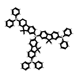 CC1(C)C2=C(CCC(N(c3ccccc3)c3ccccc3)=C2)c2ccc(N(c3ccc4c(c3)C(C)(C)c3cc(N(c5ccccc5)c5ccccc5)ccc3-4)c3ccc4c(c3)C(C)(C)c3cc(N(c5ccccc5)c5ccccc5)ccc3-4)cc21